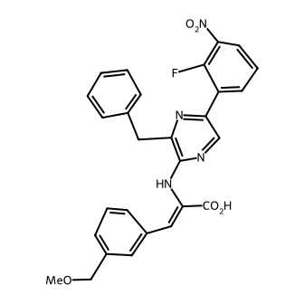 COCc1cccc(/C=C(\Nc2ncc(-c3cccc([N+](=O)[O-])c3F)nc2Cc2ccccc2)C(=O)O)c1